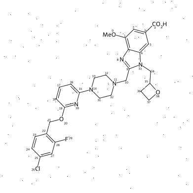 COc1cc(C(=O)O)cc2c1nc(CN1CCN(c3cccc(OCc4ccc(Cl)cc4F)n3)CC1)n2CC1CCO1